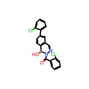 O=C(c1ccccc1Cl)N1N=Cc2cc(-c3ccccc3Cl)ccc2B1O